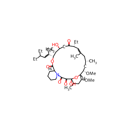 CCC(/C=C(\C)[C@H]1OC(=O)[C@@H]2CCCCN2C(=O)C(=O)[C@]2(O)O[C@H]([C@@H](OC)C[C@@H](C)C/C(C)=C/[C@@H](CC)C(=O)C[C@H](O)[C@H]1C)[C@@H](OC)C[C@H]2C)CC